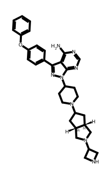 Nc1ncnc2c1c(-c1ccc(Oc3ccccc3)cc1)nn2C1CCN(C2C[C@@H]3CN(C4CNC4)C[C@@H]3C2)CC1